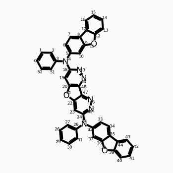 c1ccc(N(c2ccc3c(c2)oc2ccccc23)c2cc3oc4cc(N(c5ccccc5)c5ccc6c(c5)oc5ccccc56)nnc4c3nn2)cc1